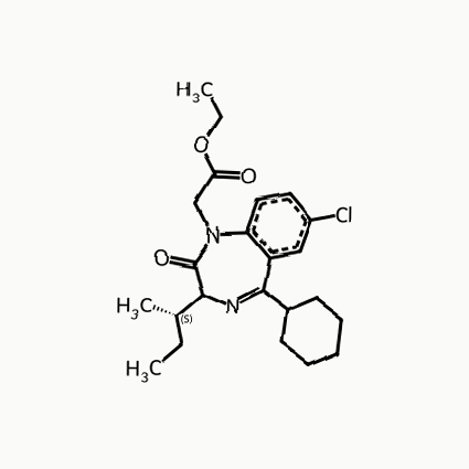 CCOC(=O)CN1C(=O)C([C@@H](C)CC)N=C(C2CCCCC2)c2cc(Cl)ccc21